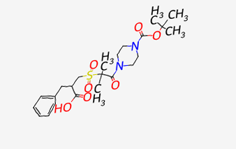 CC(C)(C)OC(=O)N1CCN(C(=O)C(C)(C)S(=O)(=O)CC(Cc2ccccc2)C(=O)O)CC1